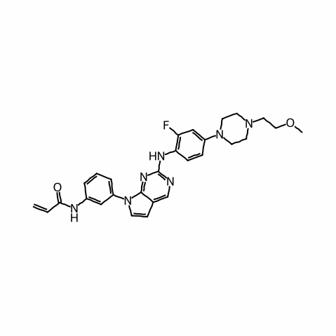 C=CC(=O)Nc1cccc(-n2ccc3cnc(Nc4ccc(N5CCN(CCOC)CC5)cc4F)nc32)c1